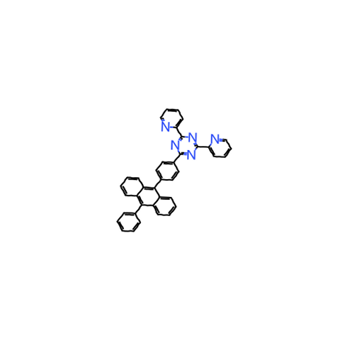 c1ccc(-c2c3ccccc3c(-c3ccc(-c4nc(-c5ccccn5)nc(-c5ccccn5)n4)cc3)c3ccccc23)cc1